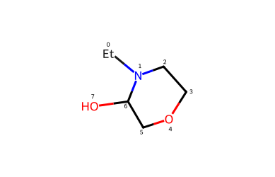 CCN1CCOCC1O